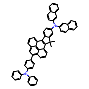 CC1(C)c2cc(N(c3ccc4ccccc4c3)c3ccc4ccccc4c3)ccc2-c2c1c1cccc3c(-c4ccc(N(c5ccccc5)c5ccccc5)cc4)cc4cccc2c4c31